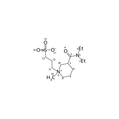 CCN(CC)C(=O)C1CCC[N+](C)(CCCS(=O)(=O)[O-])C1